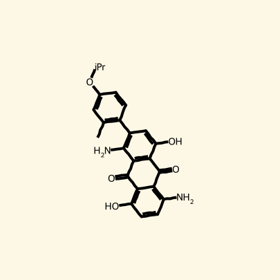 Cc1cc(OC(C)C)ccc1-c1cc(O)c2c(c1N)C(=O)c1c(O)ccc(N)c1C2=O